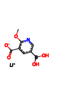 COc1ncc(B(O)O)cc1C(=O)[O-].[Li+]